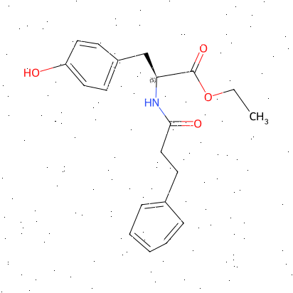 CCOC(=O)[C@H](Cc1ccc(O)cc1)NC(=O)CCc1ccccc1